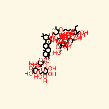 CC[C@H](C)[C@H](C[C@H](O)CC(=O)O[C@H]1C(C)O[C@@H](OC(=O)[C@]23CCC(C)(C)CC2C2=CCC4C5(C)CC[C@H](O[C@@H]6OC[C@@H](O)[C@H](O[C@@H]7OC[C@@H](O)[C@H](O)C7O)C6O[C@@H]6OC(CO)[C@H](O)[C@H](O)C6O)[C@](C)(C=O)[C@@H]5CC[C@]4(C)[C@]2(C)CC3O)C(O[C@@H]2OC(C)[C@H](O[C@@H]3OC[C@@H](O)C(O[C@@H]4OC[C@](O)(CO)C4O)C3O)C(O)C2O)C1O)OC(=O)C[C@@H](O)C[C@H](OC1(O)CO[C@H](CO)C1O)[C@@H](C)CC